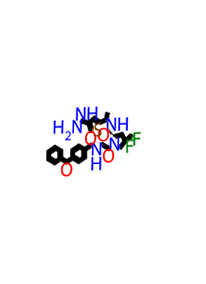 CC(NC(=O)[C@@H]1C[C@](F)(CF)CN1C(=O)CNC(=O)c1ccc(C(=O)c2ccccc2)cc1)c1cc(C(=N)N)cs1